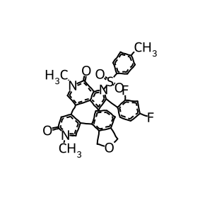 Cc1ccc(S(=O)(=O)n2c(-c3ccc(F)cc3F)cc3c(-c4cc(=O)n(C)cc4-c4cccc5c4COC5)cn(C)c(=O)c32)cc1